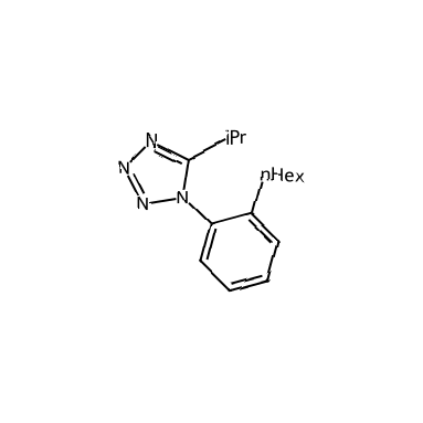 [CH2]CCCCCc1ccccc1-n1nnnc1C(C)C